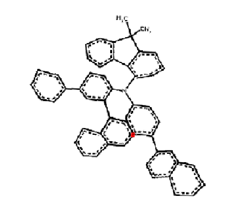 CC1(C)c2ccccc2-c2c(N(c3ccc(-c4ccc5ccccc5c4)cc3)c3ccc(-c4ccccc4)cc3-c3cccc4ccccc34)cccc21